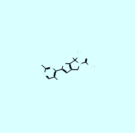 CC(=O)N1Cc2cc(-c3nc(Cl)ncc3F)sc2C1(C)C